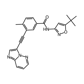 Cc1ccc(C(=O)Nc2cc(C(C)(C)C)on2)cc1C#Cc1cnc2cccnn12